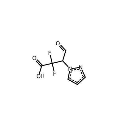 O=CC(n1cccn1)C(F)(F)C(=O)O